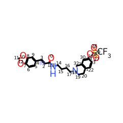 O=C(/C=C/c1ccc2c(c1)OCO2)NCCCCN1CCc2ccc(OS(=O)(=O)C(F)(F)F)cc2C1